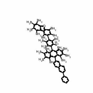 Bc1c(B)c(-c2c3c(B)c(B)c(B)c(B)c3c(-c3ccc4cc(-c5ccccc5)ccc4c3)c3c(B)c(B)c(B)c(B)c23)c(B)c(B)c1-c1c(B)c(B)c2oc3c(B)c(B)c(B)c(B)c3c2c1B